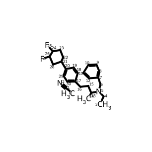 CC#N.CCN(Cc1ccccc1)C(C)CCc1ccc(C2CCC(F)C(F)C2)cc1